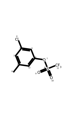 Cc1[c]c(Cl)cc(OS(=O)(=O)C(F)(F)F)c1